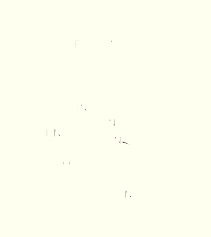 C/N=C\[C@H]1CCCC[C@@H]1n1cc(C(N)=O)c(Nc2ccc(Cl)c(F)c2)n1